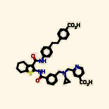 O=C(O)c1ccc(CCc2ccc(NC(=O)c3c(NC(=O)c4cccc(CN(Cc5cc(C(=O)O)ccn5)C5CC5)c4)sc4c3CCCC4)cc2)cc1